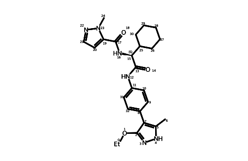 CCOc1n[nH]c(C)c1-c1ccc(NC(=O)[C@@H](NC(=O)c2ccnn2C)C2CCCCC2)cc1